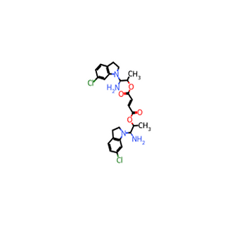 CC(OC(=O)/C=C/C(=O)OC(C)[C@@H](N)N1CCc2ccc(Cl)cc21)[C@@H](N)N1CCc2ccc(Cl)cc21